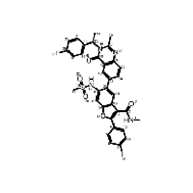 CNC(=O)c1c(-c2ccc(F)cc2)oc2cc(NS(C)(=O)=O)c(-c3ccc4nc(C)n([C@H](C)c5ccc(F)cc5)c(=O)c4c3)cc12